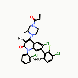 C=CC(=O)N1CCN(c2c(C#N)c(=O)n(-c3ccccc3Cl)c3cc(-c4c(OC)ccc(Cl)c4F)c(Cl)cc23)[C@@H](C)C1